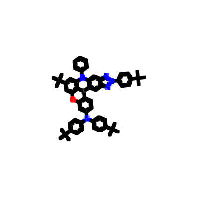 CC(C)(C)c1ccc(N(c2ccc(C(C)(C)C)cc2)c2ccc3c(c2)Oc2cc(C(C)(C)C)cc4c2B3c2cc3nn(-c5ccc(C(C)(C)C)cc5)nc3cc2N4c2ccccc2)cc1